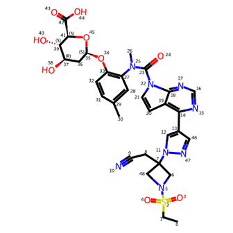 CCS(=O)(=O)N1CC(CC#N)(n2cc(-c3ncnc4c3ccn4C(=O)N(C)c3cc(C)ccc3O[C@H]3C[C@@H](O)[C@H](O)[C@@H](C(=O)O)O3)cn2)C1